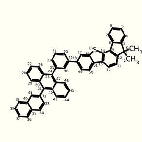 CC1(C)c2ccccc2-c2c1ccc1c2sc2cc(-c3cccc(-c4c5ccccc5c(-c5ccc6ccccc6c5)c5ccccc45)c3)ccc21